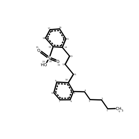 CCCCCc1ccccc1CCCc1ccccc1S(=O)(=O)O